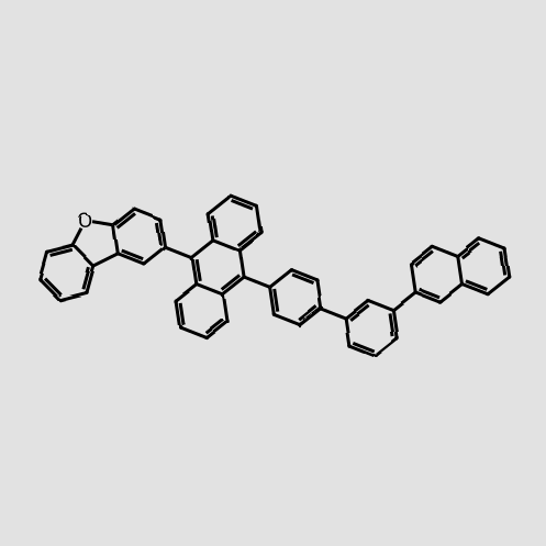 c1cc(-c2ccc(-c3c4ccccc4c(-c4ccc5oc6ccccc6c5c4)c4ccccc34)cc2)cc(-c2ccc3ccccc3c2)c1